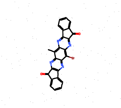 Cc1c2nc3c(nc2c(Br)c2nc4c(nc12)c(=O)c1ccccc14)c(=O)c1ccccc13